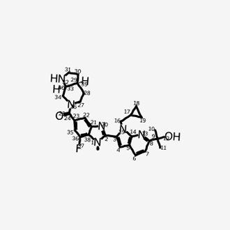 Cn1c(-c2cc3ccc(C(C)(C)O)nc3n2CC2CC2)nc2cc(C(=O)N3CC[C@@H]4CCN[C@@H]4C3)cc(F)c21